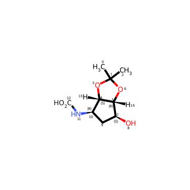 CC1(C)O[C@@H]2[C@H](O1)[C@@H](O)C[C@H]2NC(=O)O